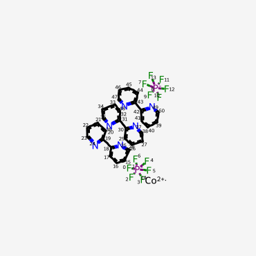 F[P-](F)(F)(F)(F)F.F[P-](F)(F)(F)(F)F.[Co+2].c1ccc(-c2ccccn2)nc1.c1ccc(-c2ccccn2)nc1.c1ccc(-c2ccccn2)nc1